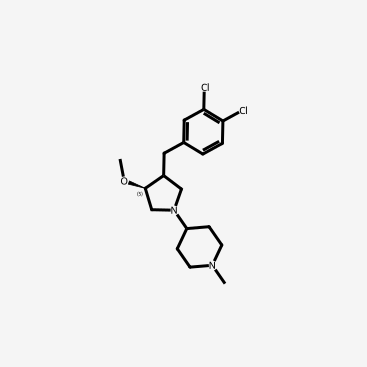 CO[C@@H]1CN(C2CCN(C)CC2)CC1Cc1ccc(Cl)c(Cl)c1